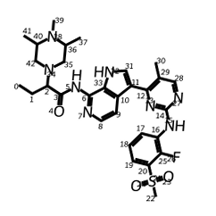 CCC(C(=O)Nc1nccc2c(-c3nc(Nc4cccc(S(C)(=O)=O)c4F)ncc3C)c[nH]c12)N1CC(C)N(C)C(C)C1